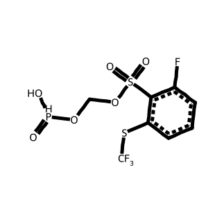 O=[PH](O)OCOS(=O)(=O)c1c(F)cccc1SC(F)(F)F